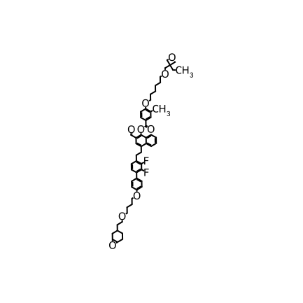 CCC1(COCCCCCCOc2ccc(C(=O)Oc3c(C=O)cc(CCc4ccc(-c5ccc(OCCCCOCCC6CCC7OC7C6)cc5)c(F)c4F)c4ccccc34)cc2C)COC1